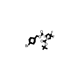 CC(C)(C)OC(=O)N1CC(F)(F)C[C@H]1C(=O)OCc1ccc(Br)cc1